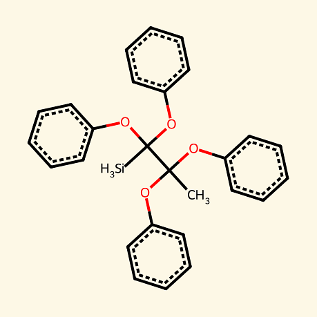 CC(Oc1ccccc1)(Oc1ccccc1)C([SiH3])(Oc1ccccc1)Oc1ccccc1